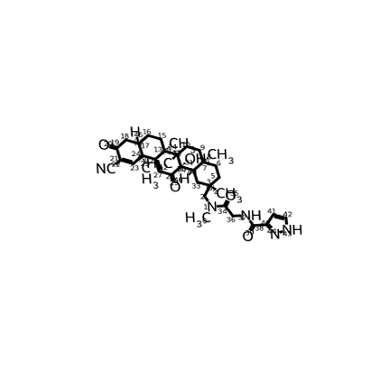 CN(C[C@@]1(C)CC[C@]2(C)CC[C@@]3(C)[C@]4(C)CC[C@H]5CC(=O)C(C#N)=C[C@]5(C)C4=CC(=O)[C@]3(O)[C@@H]2C1)C(=O)CNC(=O)c1cc[nH]n1